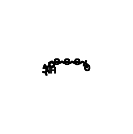 CC(C)NC1(c2ccc(OCCCOCCCOCCC(C)(C)C=O)cc2)CC1